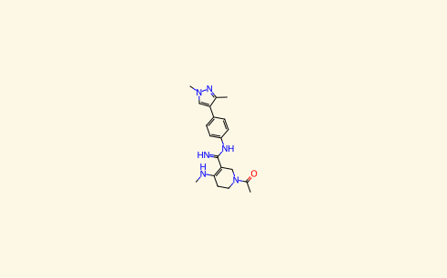 CNC1=C(C(=N)Nc2ccc(-c3cn(C)nc3C)cc2)CN(C(C)=O)CC1